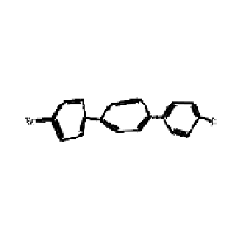 Fc1ccc(-c2ccc(-c3ccc(Br)cc3)cc2)cc1